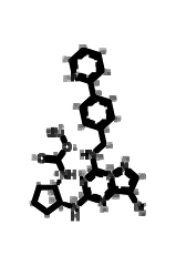 CC(C)(C)OC(=O)N[C@H]1CCC[C@@H]1Nc1nc(NCc2ccc(-c3ccccn3)cc2)n2ncc(Br)c2n1